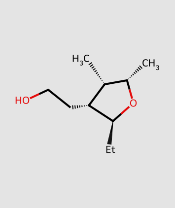 CC[C@@H]1O[C@@H](C)[C@@H](C)[C@H]1CCO